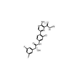 CC(C)NC(=O)c1nc(-c2ccc(NC(=O)[C@H](O)c3cc(F)cc(F)c3)cc2Cl)cnc1N